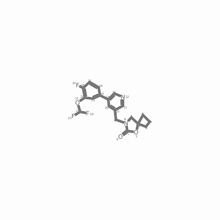 O=C1OC2(CCC2)CN1Cc1cncc(-c2ccc(F)c(OC(F)F)c2)c1